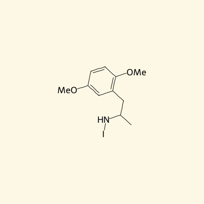 COc1ccc(OC)c(CC(C)NI)c1